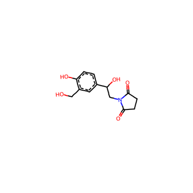 O=C1CCC(=O)N1CC(O)c1ccc(O)c(CO)c1